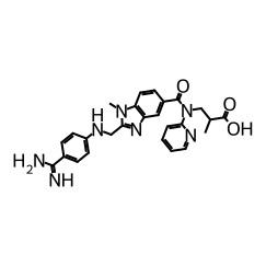 CC(CN(C(=O)c1ccc2c(c1)nc(CNc1ccc(C(=N)N)cc1)n2C)c1ccccn1)C(=O)O